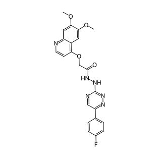 COc1cc2nccc(OCC(=O)NNc3ncc(-c4ccc(F)cc4)nn3)c2cc1OC